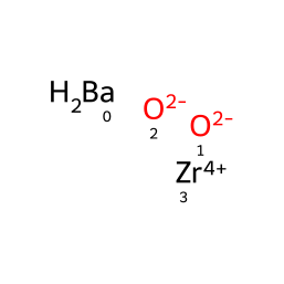 [BaH2].[O-2].[O-2].[Zr+4]